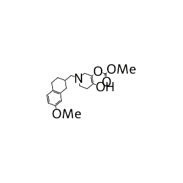 COC(=O)OC1=C(O)CCN(CC2CCc3ccc(OC)cc3C2)C1